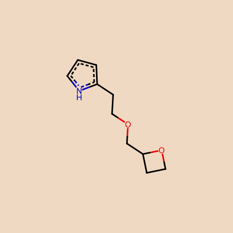 c1c[nH]c(CCOCC2CCO2)c1